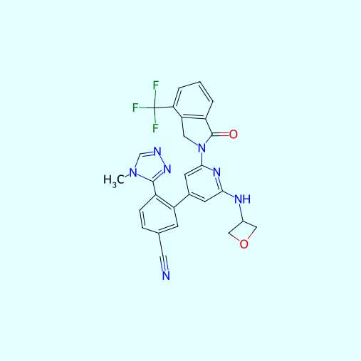 Cn1cnnc1-c1ccc(C#N)cc1-c1cc(NC2COC2)nc(N2Cc3c(cccc3C(F)(F)F)C2=O)c1